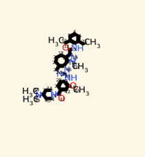 CCc1cccc(CC)c1NC(=O)c1nn(C)c2c1CCCc1cnc(Nc3ccc(C(=O)N4CCC(N(C)C)CC4)cc3OC)nc1-2